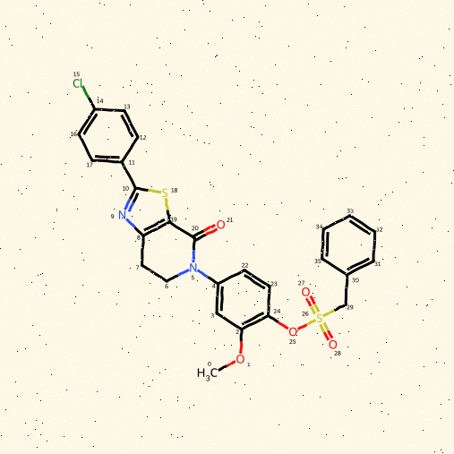 COc1cc(N2CCc3nc(-c4ccc(Cl)cc4)sc3C2=O)ccc1OS(=O)(=O)Cc1ccccc1